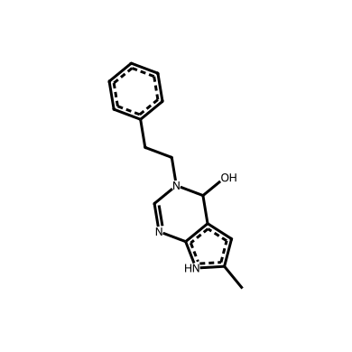 Cc1cc2c([nH]1)N=CN(CCc1ccccc1)C2O